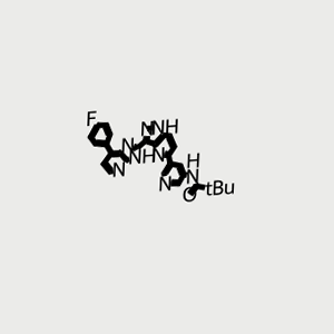 CC(C)(C)C(=O)Nc1cncc(-c2ccc3[nH]nc(-c4nc5c(-c6ccc(F)cc6)ccnc5[nH]4)c3n2)c1